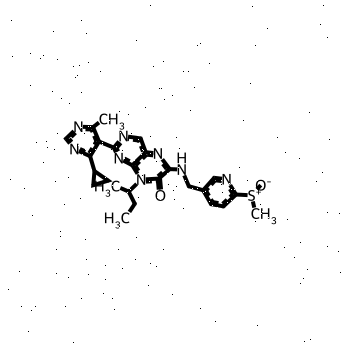 CCC(C)n1c(=O)c(NCc2ccc([S+](C)[O-])nc2)nc2cnc(-c3c(C)ncnc3C3CC3)nc21